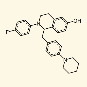 Oc1ccc2c(c1)CCN(c1ccc(F)cc1)C2Cc1ccc(N2CCCCC2)cc1